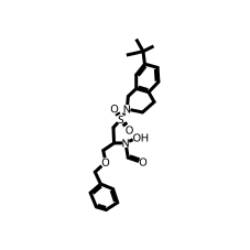 CC(C)(C)c1ccc2c(c1)CN(S(=O)(=O)CC(COCc1ccccc1)N(O)C=O)CC2